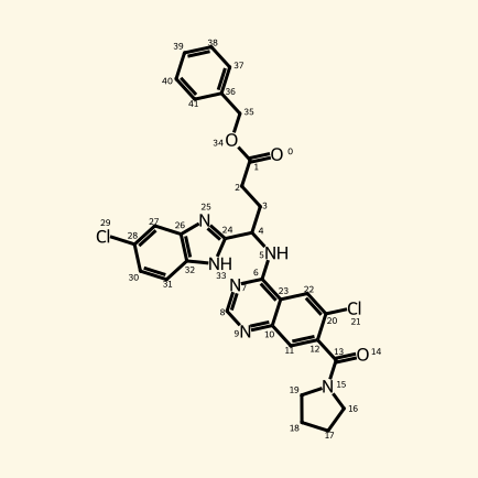 O=C(CCC(Nc1ncnc2cc(C(=O)N3CCCC3)c(Cl)cc12)c1nc2cc(Cl)ccc2[nH]1)OCc1ccccc1